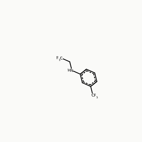 FC(F)(F)CNc1cccc(C(F)(F)F)c1